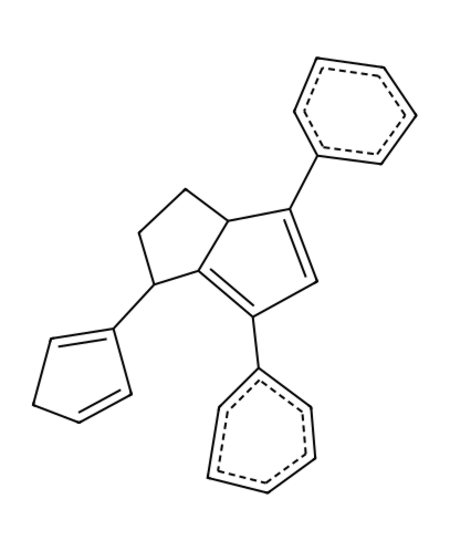 C1=CC(C2CCC3C(c4ccccc4)=CC(c4ccccc4)=C23)=CC1